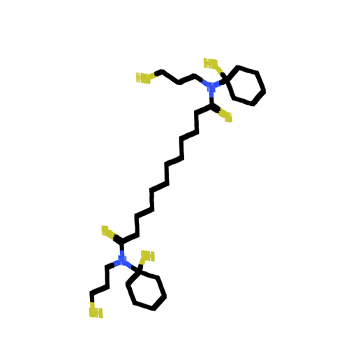 S=C(CCCCCCCCCCC(=S)N(CCCS)C1(S)CCCCC1)N(CCCS)C1(S)CCCCC1